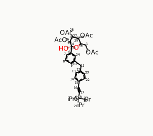 CC(=O)OC[C@H]1O[C@@](O)(c2cccc(Cc3ccc(C#C[Si](C(C)C)(C(C)C)C(C)C)cc3)c2)[C@H](OC(C)=O)[C@@H](OC(C)=O)[C@@H]1OC(C)=O